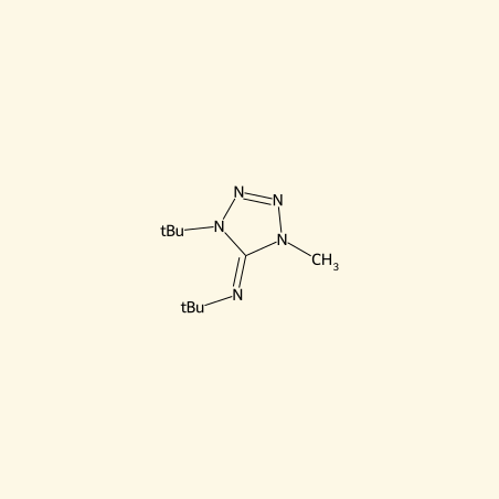 Cn1nnn(C(C)(C)C)/c1=N\C(C)(C)C